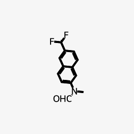 CN(C=O)c1ccc2cc([C](F)F)ccc2c1